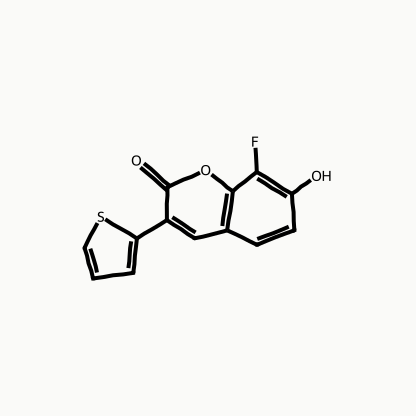 O=c1oc2c(F)c(O)ccc2cc1-c1cccs1